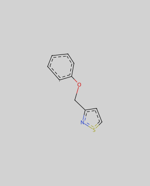 [c]1ccccc1OCc1ccsn1